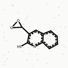 Sc1nc2ccccc2cc1C1OO1